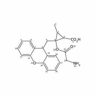 CC1C(C(=O)O)C1(CC1c2ccccc2Oc2ccccc21)OC(=O)CN